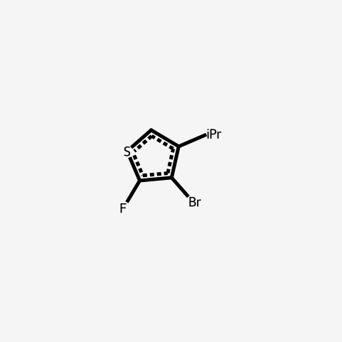 CC(C)c1csc(F)c1Br